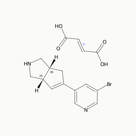 Brc1cncc(C2=C[C@@H]3CNC[C@@H]3C2)c1.O=C(O)/C=C/C(=O)O